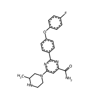 CC1CN(c2cc(C(N)=O)nc(-c3ccc(Oc4ccc(F)cc4)cc3)n2)CCN1